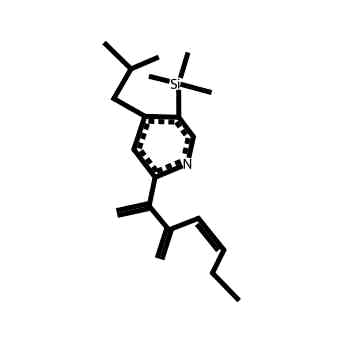 C=C(/C=C\CC)C(=C)c1cc(CC(C)C)c([Si](C)(C)C)cn1